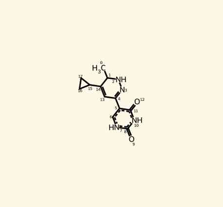 CC1NN=C(c2c[nH]c(=O)[nH]c2=O)C=C1C1CC1